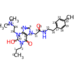 CCCN1C(=O)c2c(ncn2CC(=O)NCCc2ccc(C)cc2)N(CCN(C)C)C1O